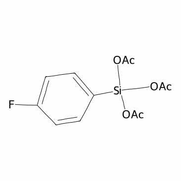 CC(=O)O[Si](OC(C)=O)(OC(C)=O)c1ccc(F)cc1